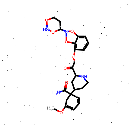 COC1=CC=CC(C(N)=O)(C2CCNC(C(=O)COc3cccc4c3ON(C3CCONO3)O4)C2)C1